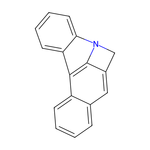 c1ccc2c(c1)cc1c3c2c2ccccc2n3C1